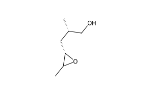 CC1O[C@H]1C[C@H](C)CO